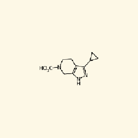 O=C(O)N1CCc2c(C3CC3)n[nH]c2C1